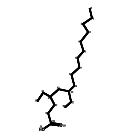 CCCCCCCCCCC(CC)CC(CC)CCC(=O)O